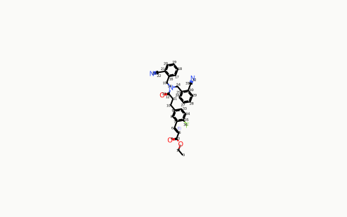 CCOC(=O)/C=C/c1cc(CCC(=O)N(Cc2ccccc2C#N)Cc2ccccc2C#N)ccc1F